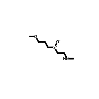 CNCC[S+]([O-])CCCOC